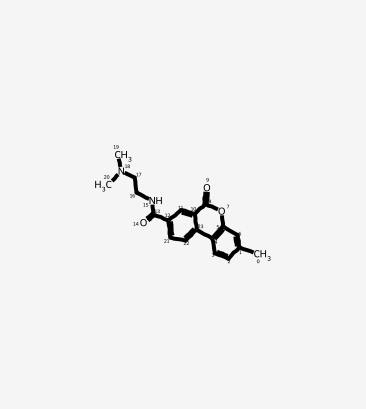 Cc1ccc2c(c1)oc(=O)c1cc(C(=O)NCCN(C)C)ccc12